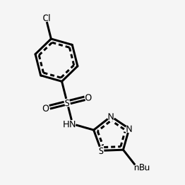 CCCCc1nnc(NS(=O)(=O)c2ccc(Cl)cc2)s1